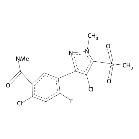 CNC(=O)c1cc(-c2nn(C)c(S(C)(=O)=O)c2Cl)c(F)cc1Cl